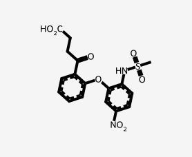 CS(=O)(=O)Nc1ccc([N+](=O)[O-])cc1Oc1ccccc1C(=O)CCC(=O)O